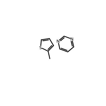 Cc1cccs1.c1cncnc1